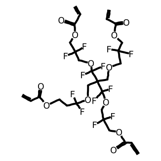 C=CC(=O)OCCC(F)(F)OCC(COCC(F)(F)COC(=O)C=C)(C(F)(F)OCC(F)(F)COC(=O)C=C)C(F)(F)OCC(F)(F)COC(=O)C=C